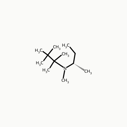 CC[C@H](C)N(C)C(C)(C)C(C)(C)C